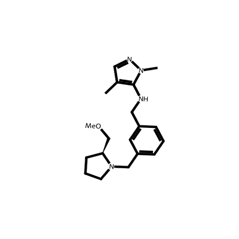 COC[C@@H]1CCCN1Cc1cccc(CNc2c(C)cnn2C)c1